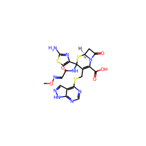 CON=CC(=O)NC1(c2csc(N)n2)S[C@H]2CC(=O)N2C(C(=O)O)=C1CSc1ncnc2[nH]ncc12